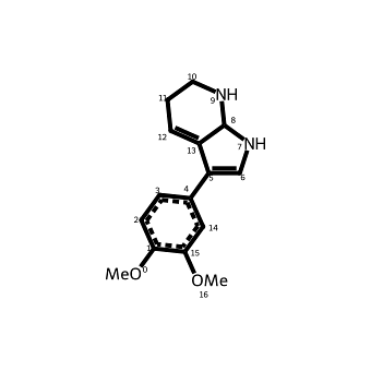 COc1ccc(C2=CNC3NCCC=C23)cc1OC